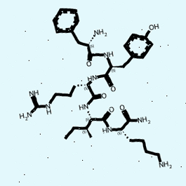 CC[C@H](C)[C@H](NC(=O)[C@H](CCCNC(=N)N)NC(=O)[C@H](Cc1ccc(O)cc1)NC(=O)[C@@H](N)Cc1ccccc1)C(=O)N[C@@H](CCCCN)C(N)=O